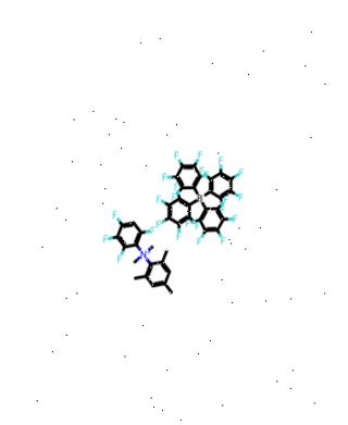 Cc1cc(C)c([N+](C)(C)c2c(F)cc(F)c(F)c2F)c(C)c1.Fc1c(F)c(F)c([B-](c2c(F)c(F)c(F)c(F)c2F)(c2c(F)c(F)c(F)c(F)c2F)c2c(F)c(F)c(F)c(F)c2F)c(F)c1F